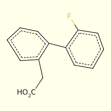 O=C(O)Cc1ccccc1-c1ccccc1F